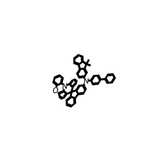 CC1(C)c2ccccc2-c2ccc(N(c3ccc(-c4ccccc4)cc3)c3ccc4c(c3)C3(c5ccccc5-4)c4ccccc4N4c5ccccc5Oc5cccc3c54)cc21